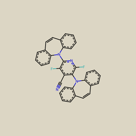 N#Cc1c(F)c(N2c3ccccc3C=Cc3ccccc32)nc(F)c1N1c2ccccc2C=Cc2ccccc21